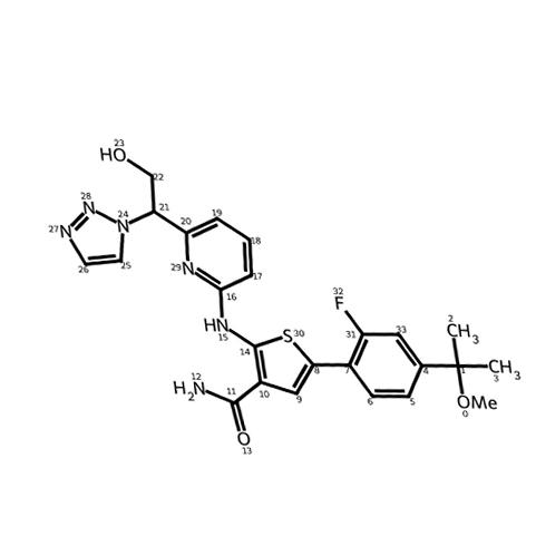 COC(C)(C)c1ccc(-c2cc(C(N)=O)c(Nc3cccc(C(CO)n4ccnn4)n3)s2)c(F)c1